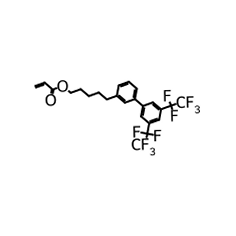 C=CC(=O)OCCCCCc1cccc(-c2cc(C(F)(F)C(F)(F)F)cc(C(F)(F)C(F)(F)F)c2)c1